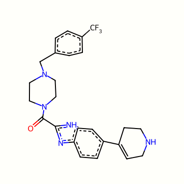 O=C(c1nc2ccc(C3=CCNCC3)cc2[nH]1)N1CCN(Cc2ccc(C(F)(F)F)cc2)CC1